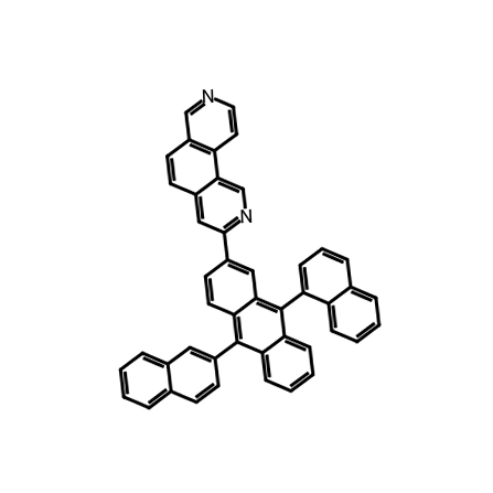 c1ccc2cc(-c3c4ccccc4c(-c4cccc5ccccc45)c4cc(-c5cc6ccc7cnccc7c6cn5)ccc34)ccc2c1